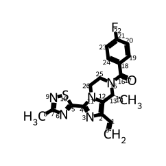 C=Cc1nc(-c2nc(C)ns2)n2c1[C@@H](C)N(C(=O)c1ccc(F)cc1)CC2